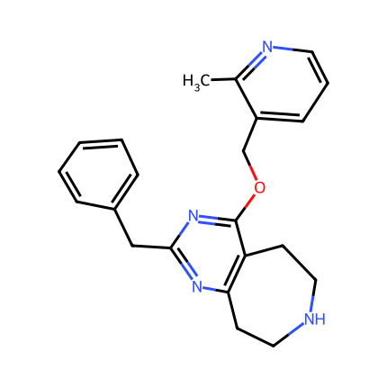 Cc1ncccc1COc1nc(Cc2ccccc2)nc2c1CCNCC2